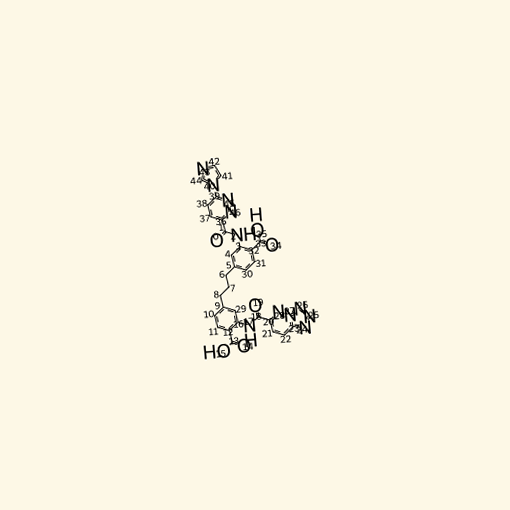 O=C(Nc1cc(CCCc2ccc(C(=O)O)c(NC(=O)c3ccc4nnnn4n3)c2)ccc1C(=O)O)c1ccc(-n2ccnc2)nn1